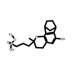 CCOP(=O)(O)CCCC1(C)CCc2cc(O)c3c(c2O1)C1CCC3C1